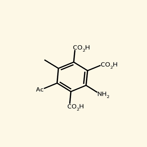 CC(=O)c1c(C)c(C(=O)O)c(C(=O)O)c(N)c1C(=O)O